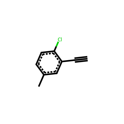 C#Cc1cc(C)ccc1Cl